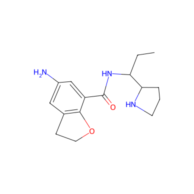 CCC(NC(=O)c1cc(N)cc2c1OCC2)C1CCCN1